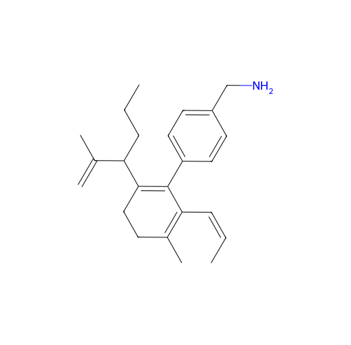 C=C(C)C(CCC)C1=C(c2ccc(CN)cc2)C(/C=C\C)=C(C)CC1